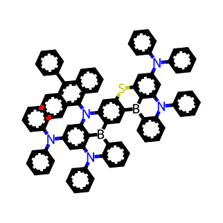 c1ccc(-c2c3ccccc3c(N3c4cc5c(cc4B4c6ccccc6N(c6ccccc6)c6cc(N(c7ccccc7)c7ccccc7)cc3c64)B3c4ccccc4N(c4ccccc4)c4cc(N(c6ccccc6)c6ccccc6)cc(c43)S5)c3ccccc23)cc1